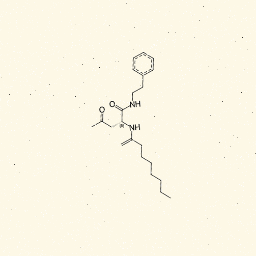 C=C(CCCCCCC)N[C@H](CC(C)=O)C(=O)NCCc1ccccc1